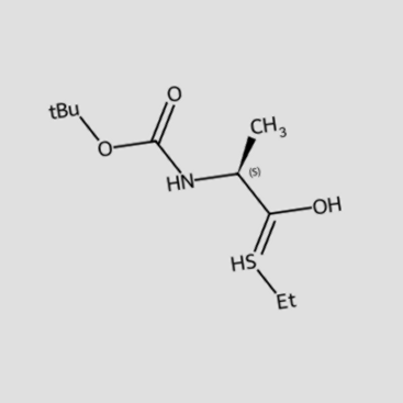 CC[SH]=C(O)[C@H](C)NC(=O)OC(C)(C)C